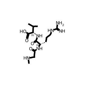 CNCC(=O)N[C@@H](CCCNC(=N)N)C(=O)N[C@H](C(=O)O)C(C)C